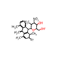 C=C1C2=C(C(C)C(CC)C=C2C)C(C2OC(CO)C(O)[C@H]([N+](=O)[O-])C2C)c2cccc(C)c21